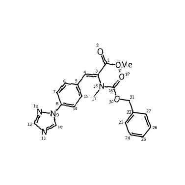 COC(=O)C(=Cc1ccc(-n2cncn2)cc1)N(C)C(=O)OCc1ccccc1